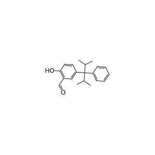 CC(C)C(c1ccccc1)(c1ccc(O)c(C=O)c1)C(C)C